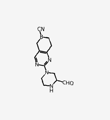 N#CB1CCc2nc(N3CCNC(C=O)C3)ncc2C1